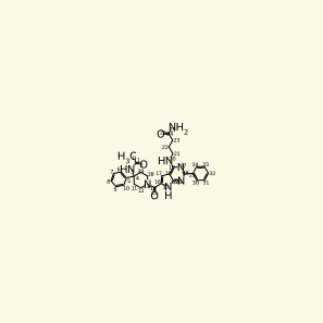 CC(=O)NC1(c2ccccc2)CCN(C(=O)c2cc3c(NCCCC(N)=O)nc(-c4ccccc4)nc3[nH]2)CC1